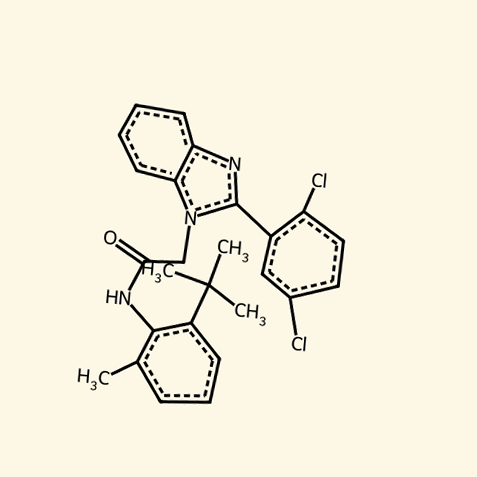 Cc1cccc(C(C)(C)C)c1NC(=O)Cn1c(-c2cc(Cl)ccc2Cl)nc2ccccc21